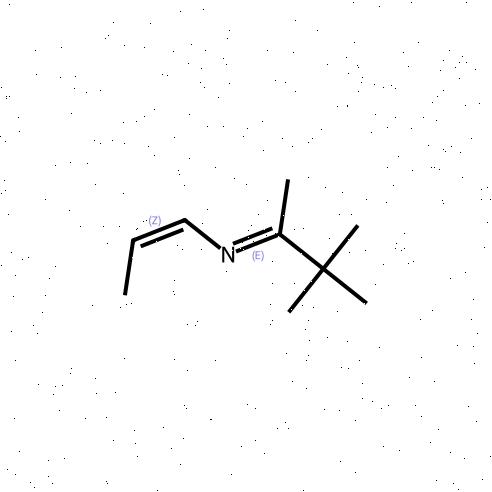 C/C=C\N=C(/C)C(C)(C)C